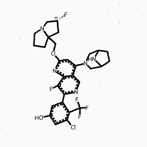 Oc1cc(Cl)c(C(F)(F)F)c(-c2ncc3c(N4CC5CCC(C4)N5)cc(OCC45CCCN4C[C@H](F)C5)nc3c2F)c1